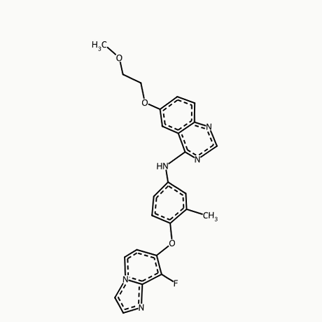 COCCOc1ccc2ncnc(Nc3ccc(Oc4ccn5ccnc5c4F)c(C)c3)c2c1